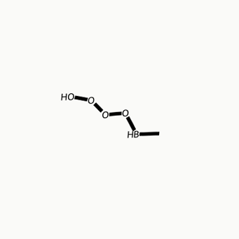 CBOOOO